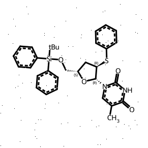 Cc1cn([C@@H]2O[C@H](CO[Si](c3ccccc3)(c3ccccc3)C(C)(C)C)C[C@H]2Sc2ccccc2)c(=O)[nH]c1=O